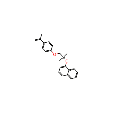 C=C(C)c1ccc(OC[Si](C)(C)Oc2cccc3ccccc23)cc1